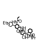 C=CC(=O)Nc1cc(Nc2ncc(Cl)c(Nc3ccccc3S(=O)(=O)C(C)C)n2)c(O)cc1C1CCN(CC)CC1